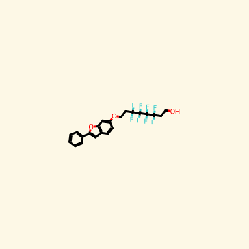 OCCC(F)(F)C(F)(F)C(F)(F)C(F)(F)CCOc1ccc2cc(-c3ccccc3)oc2c1